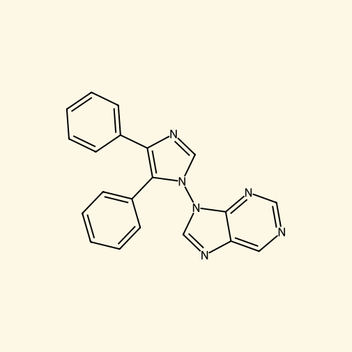 c1ccc(-c2ncn(-n3cnc4cncnc43)c2-c2ccccc2)cc1